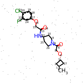 C[C@H]1C[C@H](OCC(=O)N2CCC(NC(=O)COc3ccc(Cl)c(F)c3)CC2)C1